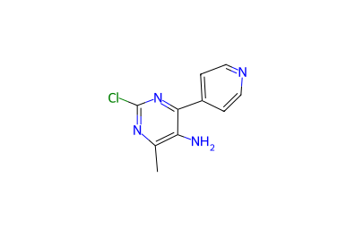 Cc1nc(Cl)nc(-c2ccncc2)c1N